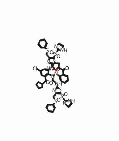 O=C(c1ccccc1N(C(=O)Nc1nc(CSc2ccccc2)c(S(=O)(=O)c2ncc[nH]2)s1)N(C(=O)Nc1nc(CSc2ccccc2)c(S(=O)(=O)c2ncc[nH]2)s1)c1ccc(Cl)cc1C(=O)C1CCCC1)C1CCCC1